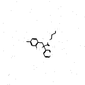 C=C(OCCCC)C(O)(Cc1ccc(Cl)cc1Cl)c1cccnc1